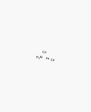 [AlH3].[Ce].[Co].[Fe]